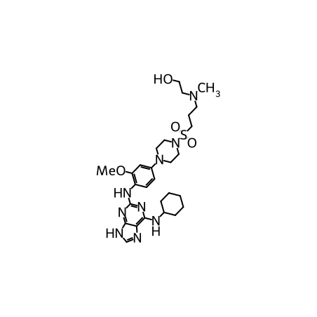 COc1cc(N2CCN(S(=O)(=O)CCCN(C)CCO)CC2)ccc1Nc1nc(NC2CCCCC2)c2nc[nH]c2n1